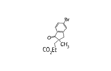 CCOC(=O)CC1(C)Cc2cc(Br)ccc2C1=O